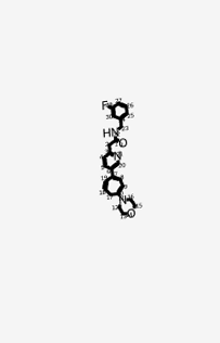 O=C(Cc1ccc(C2=CC=C(N3CCOCC3)CC#C2)cn1)NCc1cccc(F)c1